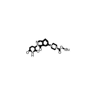 CC(C)(C)OC(=O)N1CCN(c2ccc3cnn(C4CCC(=O)NC4=O)c(=O)c3c2)CC1